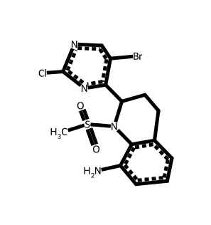 CS(=O)(=O)N1c2c(N)cccc2CCC1c1nc(Cl)ncc1Br